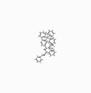 C=C(C)/C(=N\C(=N/Cc1ccccc1)c1ccccc1)c1cccc2c1-c1ccccc1C21c2ccccc2-c2ccccc21